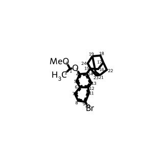 COC(C)Oc1cc2ccc(Br)cc2cc1C12CC3CC(CC(C3)C1)C2